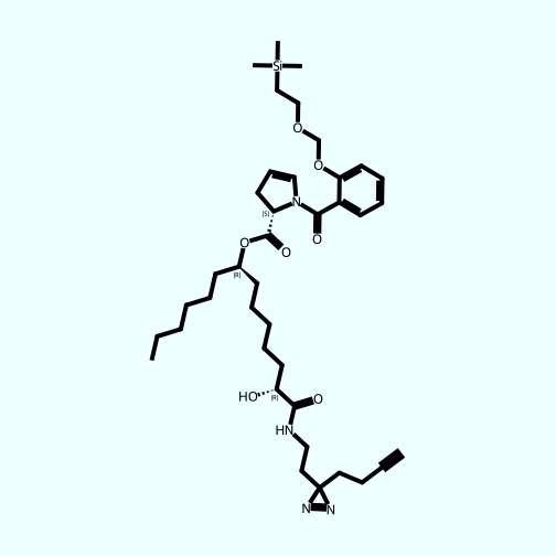 C#CCCC1(CCNC(=O)[C@H](O)CCCCC[C@@H](CCCCCC)OC(=O)[C@@H]2CC=CN2C(=O)c2ccccc2OCOCC[Si](C)(C)C)N=N1